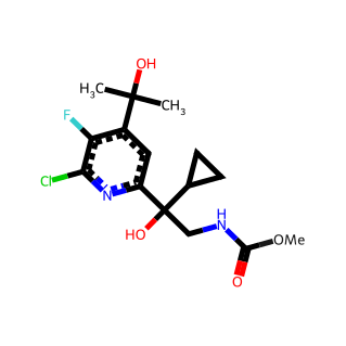 COC(=O)NCC(O)(c1cc(C(C)(C)O)c(F)c(Cl)n1)C1CC1